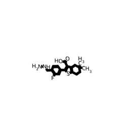 CC1(C)CCc2sc(-c3ccc(CNN)c(F)c3)c(C(=O)O)c2C1